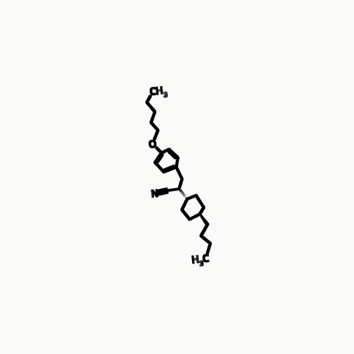 CCCCCOc1ccc(CC(C#N)[C@H]2CC[C@H](CCCC)CC2)cc1